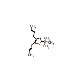 CC=CCC1=C(CC=CC)SC([Si](C)(C)C)C1